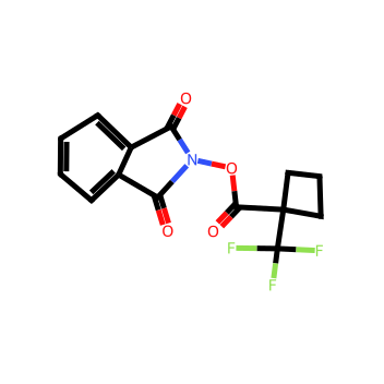 O=C1c2ccccc2C(=O)N1OC(=O)C1(C(F)(F)F)CCC1